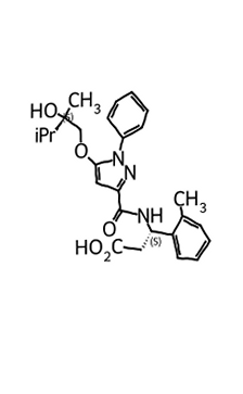 Cc1ccccc1[C@H](CC(=O)O)NC(=O)c1cc(OC[C@@](C)(O)C(C)C)n(-c2ccccc2)n1